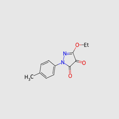 CCOC1=NN(c2ccc(C)cc2)C(=O)C1=O